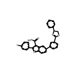 CNC(=O)c1c(-c2ccc(F)cc2)oc2ccc(-c3cccc(C4=NC(c5ccccc5)CO4)c3)cc12